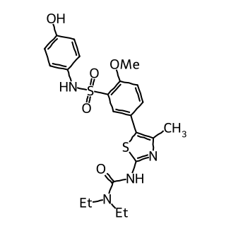 CCN(CC)C(=O)Nc1nc(C)c(-c2ccc(OC)c(S(=O)(=O)Nc3ccc(O)cc3)c2)s1